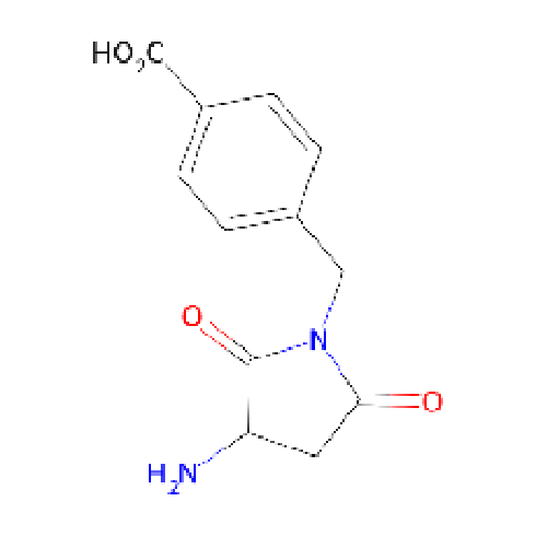 NC1CC(=O)N(Cc2ccc(C(=O)O)cc2)C1=O